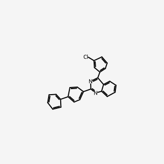 Clc1cccc(-c2nc(-c3ccc(-c4ccccc4)cc3)nc3ccccc23)c1